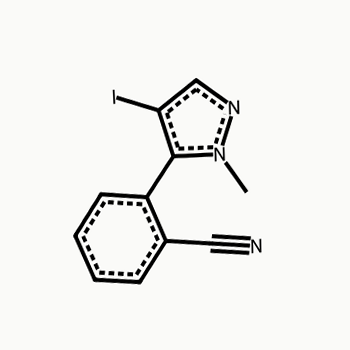 Cn1ncc(I)c1-c1ccccc1C#N